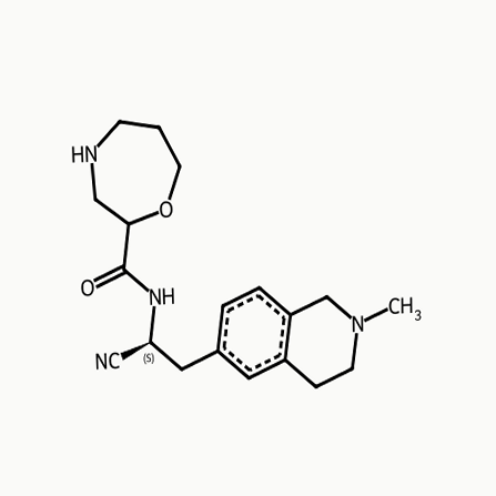 CN1CCc2cc(C[C@@H](C#N)NC(=O)C3CNCCCO3)ccc2C1